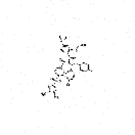 CCOc1cc(C(F)(F)F)ccc1C1=NC(c2ccc(Cl)cc2)C(c2ccc(Cl)cc2)N1C(=O)N1CCN(S(=O)(=O)c2cn(C)c(C)n2)CC1